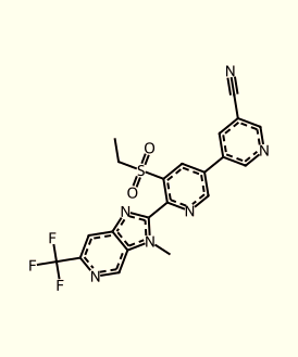 CCS(=O)(=O)c1cc(-c2cncc(C#N)c2)cnc1-c1nc2cc(C(F)(F)F)ncc2n1C